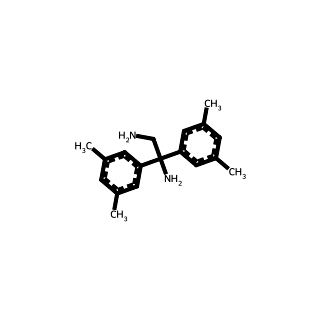 Cc1cc(C)cc(C(N)(CN)c2cc(C)cc(C)c2)c1